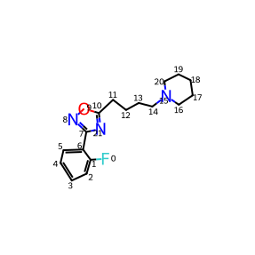 Fc1ccccc1-c1noc(CCCCN2CCCCC2)n1